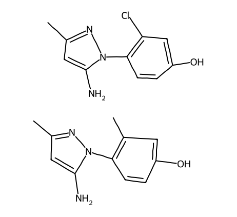 Cc1cc(N)n(-c2ccc(O)cc2C)n1.Cc1cc(N)n(-c2ccc(O)cc2Cl)n1